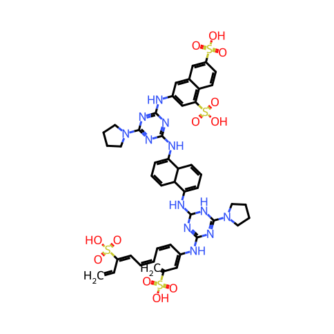 C=C\C(=C/C=C\C=C/C(=C\C(=C)S(=O)(=O)O)NC1=NC(NC2=CC=CC3C(Nc4nc(Nc5cc(S(=O)(=O)O)c6ccc(S(=O)(=O)O)cc6c5)nc(N5CCCC5)n4)=CC=CC23)NC(N2CCCC2)=N1)S(=O)(=O)O